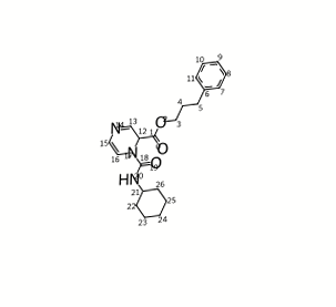 O=C(OCCCc1ccccc1)C1C=NC=CN1C(=O)NC1CCCCC1